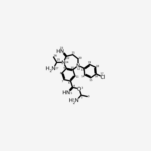 CC(N)OC(=N)c1ccc2c(c1)N(c1ccc(Cl)cc1)CCC(=N)N2C(C)N